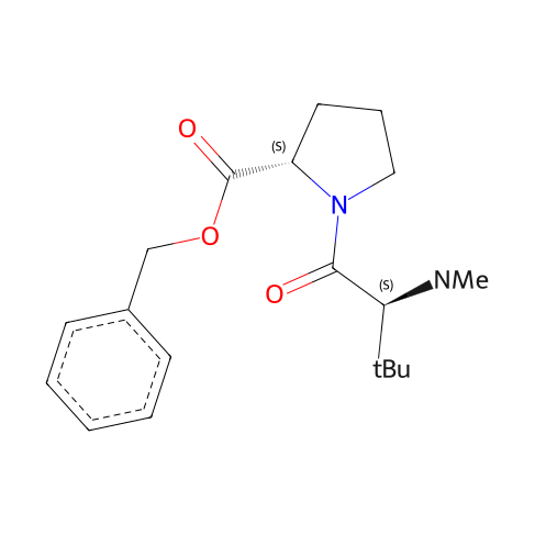 CN[C@H](C(=O)N1CCC[C@H]1C(=O)OCc1ccccc1)C(C)(C)C